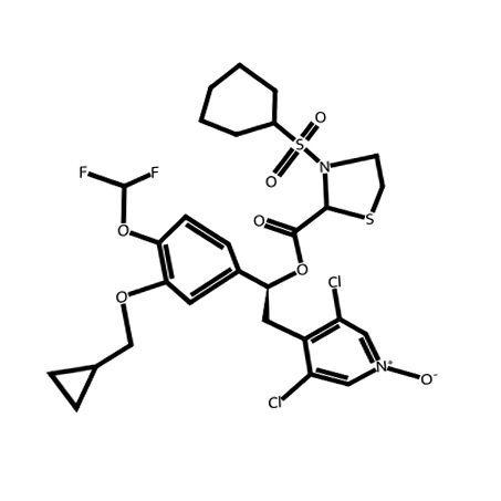 O=C(O[C@@H](Cc1c(Cl)c[n+]([O-])cc1Cl)c1ccc(OC(F)F)c(OCC2CC2)c1)C1SCCN1S(=O)(=O)C1CCCCC1